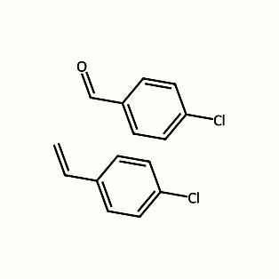 C=Cc1ccc(Cl)cc1.O=Cc1ccc(Cl)cc1